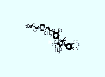 CCc1cc(N2C(=S)N(c3ccc(C#N)c(C(F)(F)F)c3)C(=O)C2(C)C)ccc1OCCN1CCN(C(=O)OC(C)(C)C)C[C@@H]1C